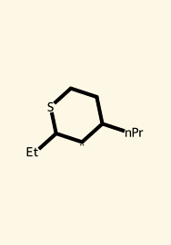 CCCC1[C]C(CC)SCC1